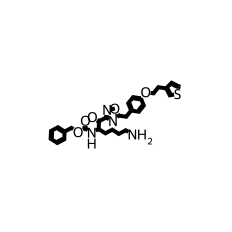 NCCCCC(NC(=O)OCc1ccccc1)C(=O)c1noc(Cc2ccc(OCCc3ccsc3)cc2)n1